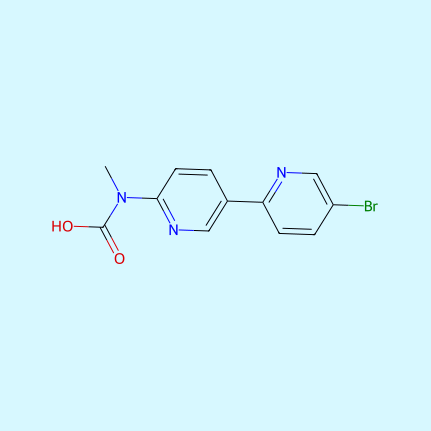 CN(C(=O)O)c1ccc(-c2ccc(Br)cn2)cn1